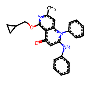 Cc1cc2c(c(OCC3CC3)n1)c(=O)cc(Nc1ccccc1)n2-c1ccccc1